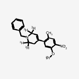 [2H]C1([2H])C=C(c2cc(OC(C)C)c([N+](=O)[O-])cc2C)CC([2H])([2H])N1Cc1ccccc1